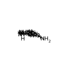 C[C@]12CCC(OCCCN)CC1CC[C@@H]1[C@H]2CC[C@]2(C)C(/C=N/Nc3ncc[nH]3)CC[C@@]12O